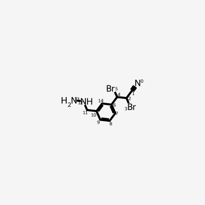 N#CC(Br)C(Br)c1cccc(CNN)c1